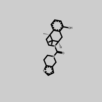 CC1(C)[C@H]2Cc3c(O)cccc3[C@]1(C)CCN2C(=O)N1CCc2sccc2C1